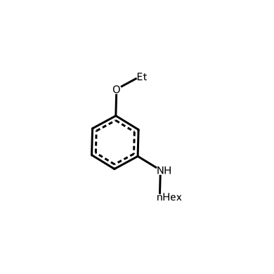 CCCCCCNc1cccc(OCC)c1